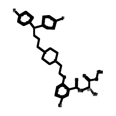 CC(C)[C@H](NC(=O)c1cc(Cl)ccc1OCCN1CCN(CCCC(c2ccc(F)cc2)c2ccc(F)cc2)CC1)C(=O)OC(C)(C)C